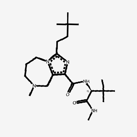 CNC(=O)[C@@H](NC(=O)c1nc(CCC(C)(C)C)n2c1CN(C)CCC2)C(C)(C)C